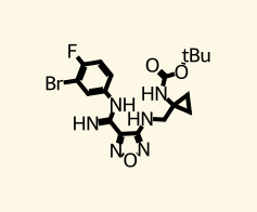 CC(C)(C)OC(=O)NC1(CNc2nonc2C(=N)Nc2ccc(F)c(Br)c2)CC1